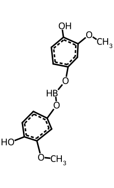 COc1cc(OBOc2ccc(O)c(OC)c2)ccc1O